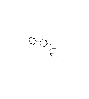 COC(=O)[C@H](Cc1ccc(-c2ccccc2)cc1)NC(C)(C)P(=O)(O)O